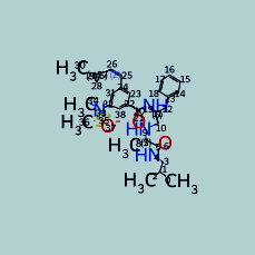 CC(C)CNC(=O)[C@H](C)NC[C@H](Cc1ccccc1)NC(=O)c1cc(/C=C\[C@H]2C[C@@H]2C)cc(N(C)[S+](C)[O-])c1